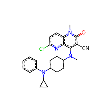 CN(c1c(C#N)c(=O)n(C)c2ccc(Cl)nc12)C1CCC(N(c2ccccc2)C2CC2)CC1